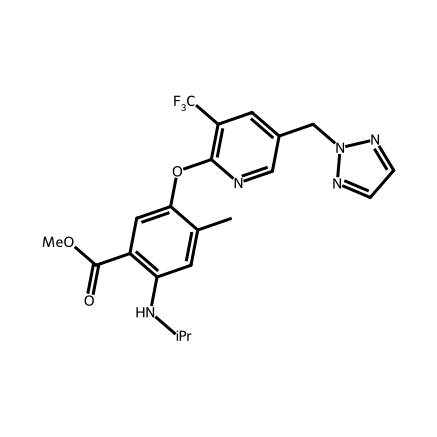 COC(=O)c1cc(Oc2ncc(Cn3nccn3)cc2C(F)(F)F)c(C)cc1NC(C)C